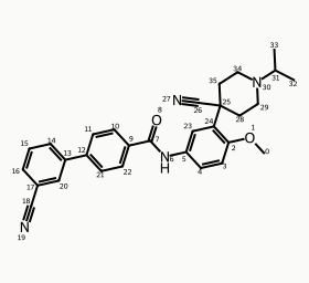 COc1ccc(NC(=O)c2ccc(-c3cccc(C#N)c3)cc2)cc1C1(C#N)CCN(C(C)C)CC1